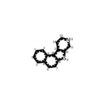 c1ccc2c(c1)ccc1sc3cnccc3c12